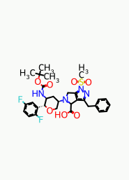 CC(C)(C)OC(=O)N[C@H]1C[C@@H](N2Cc3c(c(Cc4ccccc4)nn3S(C)(=O)=O)C2C(=O)O)CO[C@@H]1c1cc(F)ccc1F